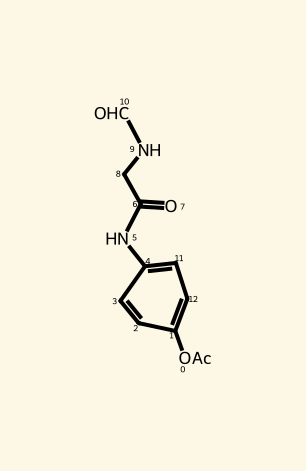 CC(=O)Oc1ccc(NC(=O)CNC=O)cc1